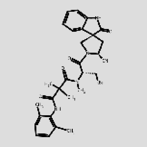 Cc1cccc(C)c1NC(=O)C(C)(C)C(=O)N(C)[C@@H](CC(C)(C)C)C(=O)N1C[C@]2(C[C@H]1C#N)C(=O)Nc1ccccc12